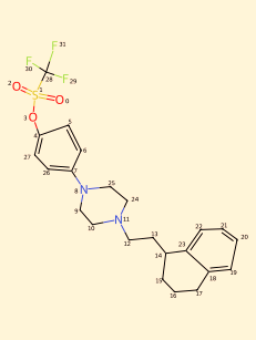 O=S(=O)(Oc1ccc(N2CCN(CCC3CCCc4ccccc43)CC2)cc1)C(F)(F)F